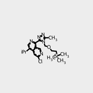 Cc1nnc(-c2ncc(C(C)C)c3cc(Cl)ncc23)n1COCC[Si](C)(C)C